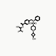 C=C(OC(=N)C(F)F)c1ccc(CN(c2ccccc2)S(=O)(=O)C2CCN(C3CC(O)C3)CC2)nc1